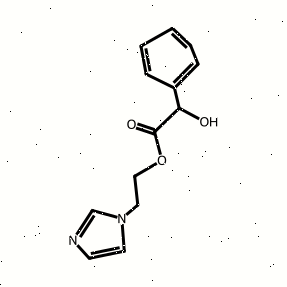 O=C(OCCn1ccnc1)C(O)c1ccccc1